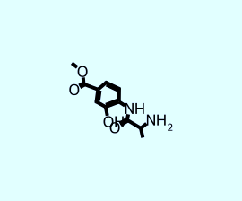 COC(=O)c1ccc(NC(=O)C(C)N)c(O)c1